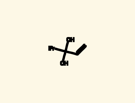 [CH2]C(C)C(O)(O)C=C